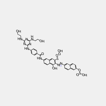 O=C(Nc1ccc2c(O)c(/N=N/c3ccc4cc(OS(=O)O)ccc4c3)c(SOOO)cc2c1)c1ccc(Nc2nc(NCCO)nc(NCCO)n2)cc1